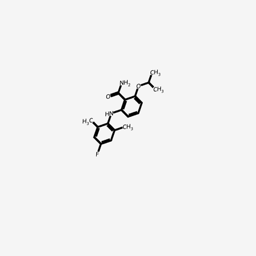 Cc1cc(F)cc(C)c1Nc1cccc(OC(C)C)c1C(N)=O